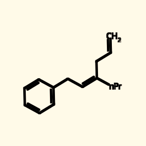 C=CCC(=CCc1ccccc1)CCC